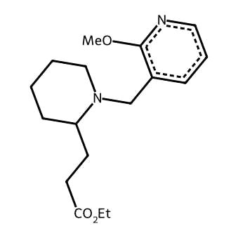 CCOC(=O)CCC1CCCCN1Cc1cccnc1OC